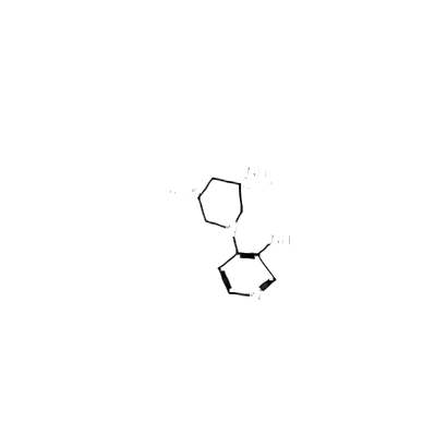 C[C@@H]1C[C@H](N)CN(c2ccncc2N)C1